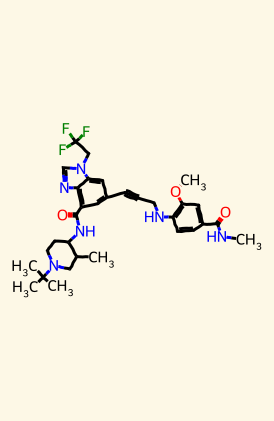 CNC(=O)c1ccc(NCC#Cc2cc(C(=O)NC3CCN(C(C)(C)C)CC3C)c3ncn(CC(F)(F)F)c3c2)c(OC)c1